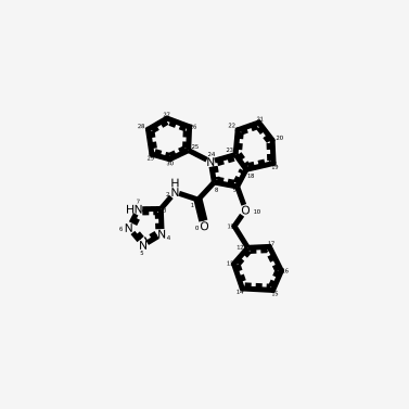 O=C(Nc1nnn[nH]1)c1c(OCc2ccccc2)c2ccccc2n1-c1ccccc1